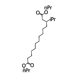 CCCOC(=O)CCCCCCCCCCC(CC(=O)OCCC)C(C)C